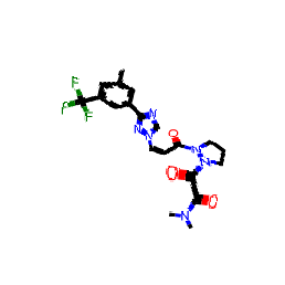 Cc1cc(-c2ncn(/C=C\C(=O)N3CCCN3C(=O)C(=O)N(C)C)n2)cc(C(F)(F)F)c1